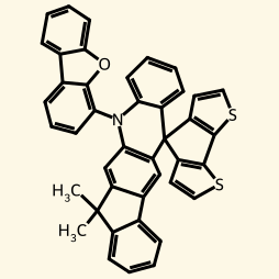 CC1(C)c2ccccc2-c2cc3c(cc21)N(c1cccc2c1oc1ccccc12)c1ccccc1C31c2ccsc2-c2sccc21